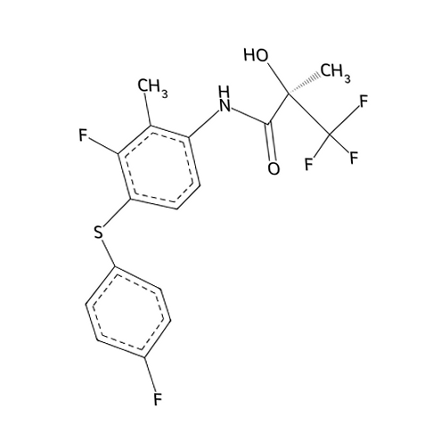 Cc1c(NC(=O)[C@@](C)(O)C(F)(F)F)ccc(Sc2ccc(F)cc2)c1F